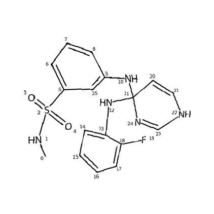 CNS(=O)(=O)c1cccc(NC2(Nc3ccccc3F)C=CNC=N2)c1